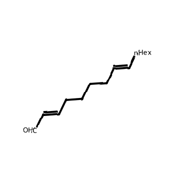 CCCCCCC=CCCCCC=CC=O